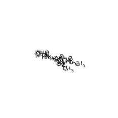 C=CCOC(=O)N1CCC2(CC1)C(=O)N[C@@H](CCCCNC(=O)OCc1ccccc1)C(=O)N2CCC